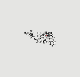 CC(C)(C)OC(=O)COC1CCN(C(=O)[C@](CC2c3ccccc3-c3ccccc32)(CC(NC(=O)O)C(C)(C)C)NC(=O)O)CC1